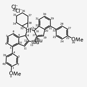 COc1ccc(-c2cccc3c2C=C(C(C)(C)C)[CH]3[Hf+2]2([CH]3C(C(C)(C)C)=Cc4c(-c5ccc(OC)cc5)cccc43)[CH]3CCCC[CH]32)cc1.[Cl-].[Cl-]